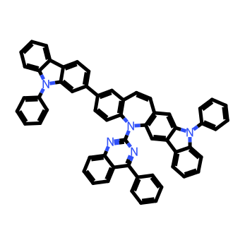 C1=Cc2cc3c(cc2N(c2nc(-c4ccccc4)c4ccccc4n2)c2ccc(-c4ccc5c6ccccc6n(-c6ccccc6)c5c4)cc21)c1ccccc1n3-c1ccccc1